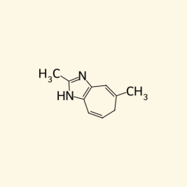 CC1=Cc2nc(C)[nH]c2C=CC1